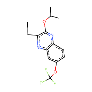 CCc1nc2cc(OC(F)(F)F)ccc2nc1OC(C)C